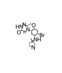 C[C@@H]1C(=O)NN=C2COc3cc(Br)c(N[C@@]4(C)CCN(C)C4)cc3N21